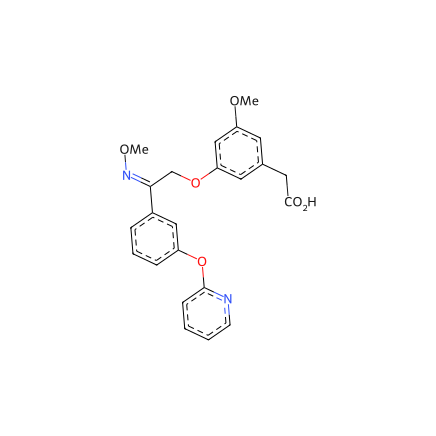 CO/N=C(\COc1cc(CC(=O)O)cc(OC)c1)c1cccc(Oc2ccccn2)c1